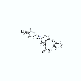 O=C1Nc2ccccc2Oc2ccc(/N=C/c3ccc([N+](=O)[O-])cc3)cc21